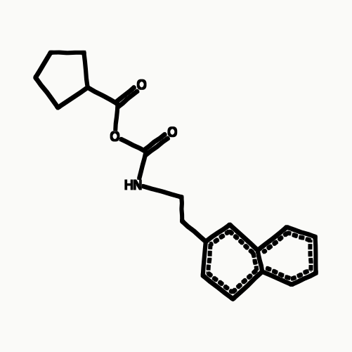 O=C(NCCc1ccc2ccccc2c1)OC(=O)C1CCCC1